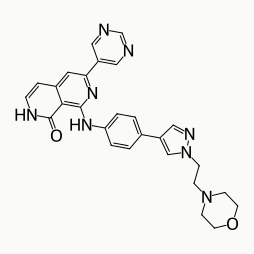 O=c1[nH]ccc2cc(-c3cncnc3)nc(Nc3ccc(-c4cnn(CCN5CCOCC5)c4)cc3)c12